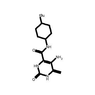 C=C1NC(=O)NC(C(=O)NC2CCC(C(C)(C)C)CC2)=C1N